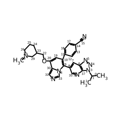 CC(C)n1nnc2cc(-c3c(-c4ccc(C#N)cc4)cc(OCC4CCCN(C)C4)c4cncn34)cnc21